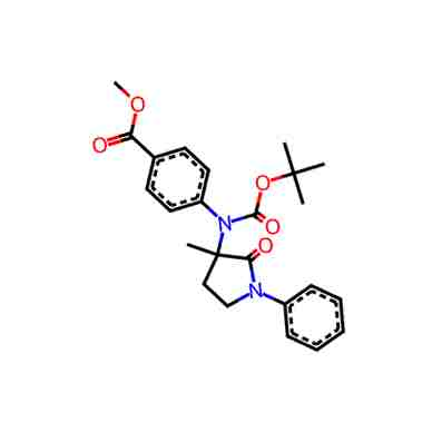 COC(=O)c1ccc(N(C(=O)OC(C)(C)C)C2(C)CCN(c3ccccc3)C2=O)cc1